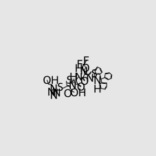 O=C(O)C1=C(CSc2nnnn2CCO)CS[C@H]2C(NC(=O)C(=NOC(F)F)c3csc(NC(c4ccccc4)(c4ccccc4)c4ccccc4)n3)C(=O)N12